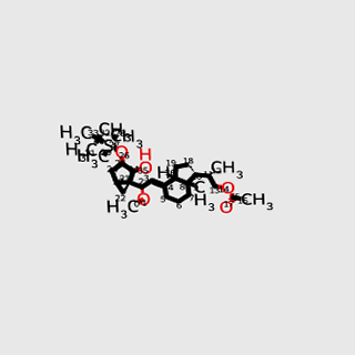 CO[C@H](/C=C1\CCCC2(C)[C@@H]([C@H](C)COC(C)=O)CC[C@@H]12)[C@]12CC1CC(O[Si](C)(C)C(C)(C)C)C2O